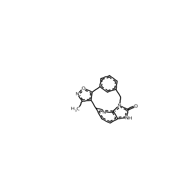 Cc1noc2c1-c1ccc3[nH]c(=O)n(c3n1)Cc1cccc-2c1